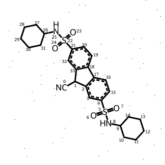 N#CC1c2cc(S(=O)(=O)NC3CCCCC3)ccc2-c2ccc(S(=O)(=O)NC3CCCCC3)cc21